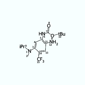 CC(C)N(C)c1cc(NC(=O)OC(C)(C)C)c(N)cc1C(F)(F)F